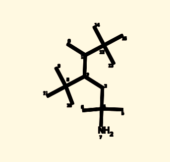 CC(C(CC(C)(C)N)C(C)(C)C)C(C)(C)C